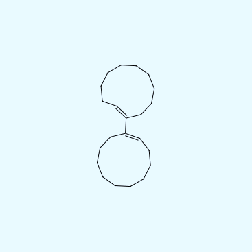 C1=C(\C2=C\CCCCCCCCC2)CCCCCCCCC/1